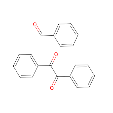 O=C(C(=O)c1ccccc1)c1ccccc1.O=Cc1ccccc1